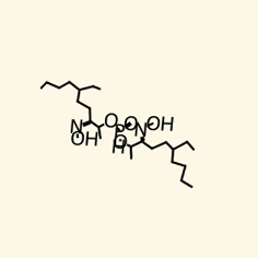 CCCCC(CC)CCC(=NO)C(C)O[PH](=O)OC(C)C(CCC(CC)CCCC)=NO